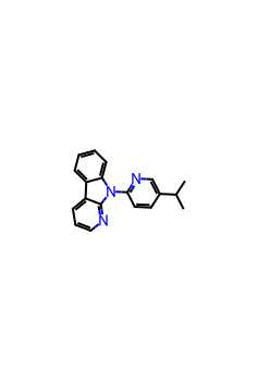 CC(C)c1ccc(-n2c3ccccc3c3cccnc32)nc1